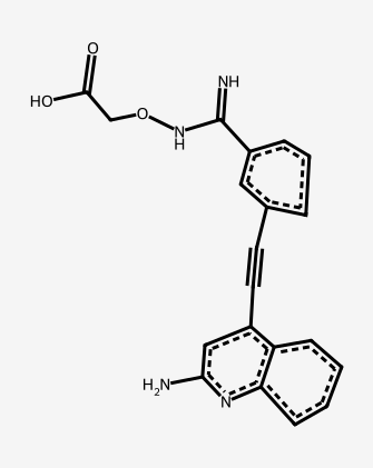 N=C(NOCC(=O)O)c1cccc(C#Cc2cc(N)nc3ccccc23)c1